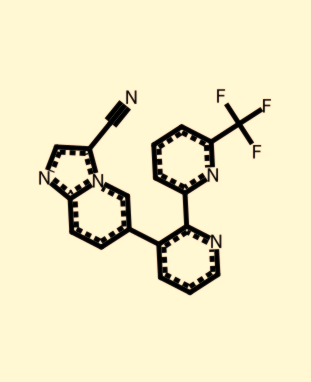 N#Cc1cnc2ccc(-c3cccnc3-c3cccc(C(F)(F)F)n3)cn12